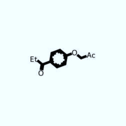 CCC(=O)c1ccc(OCC(C)=O)cc1